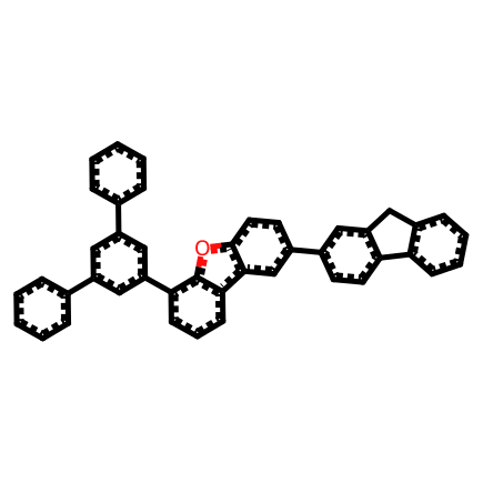 c1ccc(-c2cc(-c3ccccc3)cc(-c3cccc4c3oc3ccc(-c5ccc6c(c5)Cc5ccccc5-6)cc34)c2)cc1